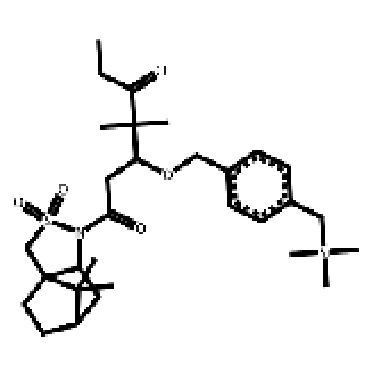 CCC(=O)C(C)(C)C(CC(=O)N1C2CC3CCC2(CS1(=O)=O)C3(C)C)OCc1ccc(C[Si](C)(C)C)cc1